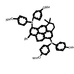 COc1ccc(N(c2ccc(OC)cc2)c2cc(C(C)C)c3ccc4c(N(c5ccc(OC)cc5)c5ccc(OC)cc5)cc5c6c(cc2c3c46)C(C)(C)CC5)cc1